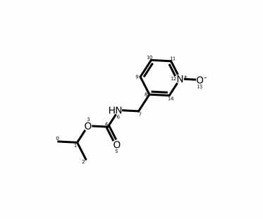 CC(C)OC(=O)NCc1ccc[n+]([O-])c1